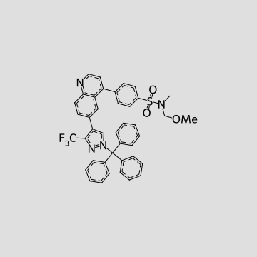 COCN(C)S(=O)(=O)c1ccc(-c2ccnc3ccc(-c4cn(C(c5ccccc5)(c5ccccc5)c5ccccc5)nc4C(F)(F)F)cc23)cc1